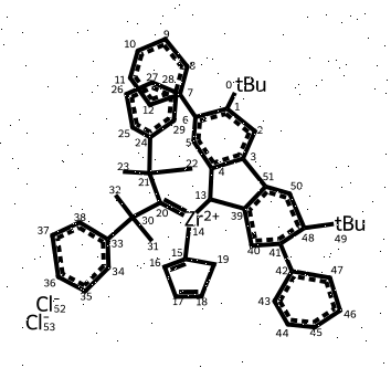 CC(C)(C)c1cc2c(cc1-c1ccccc1)[CH]([Zr+2]([C]1=CC=CC1)=[C](C(C)(C)c1ccccc1)C(C)(C)c1ccccc1)c1cc(-c3ccccc3)c(C(C)(C)C)cc1-2.[Cl-].[Cl-]